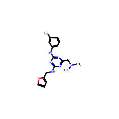 CN(C)Cc1nc(NCc2ccco2)nc(Nc2cccc(C(F)(F)F)c2)n1